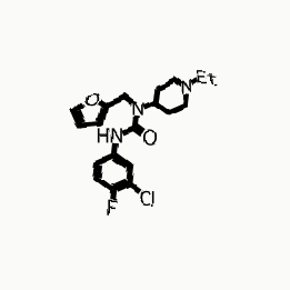 CCN1CCC(N(Cc2ccco2)C(=O)Nc2ccc(F)c(Cl)c2)CC1